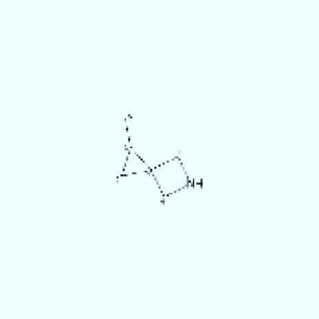 CC1CC12CNC2